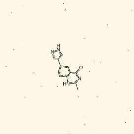 Cc1nc(=O)c2cc(-c3cn[nH]c3)ccc2[nH]1